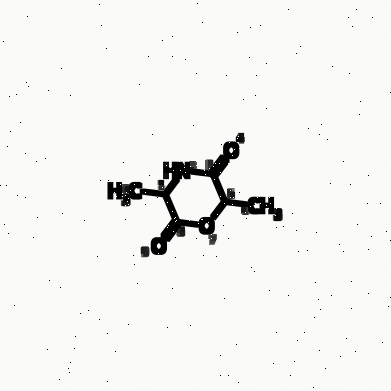 CC1NC(=O)C(C)OC1=O